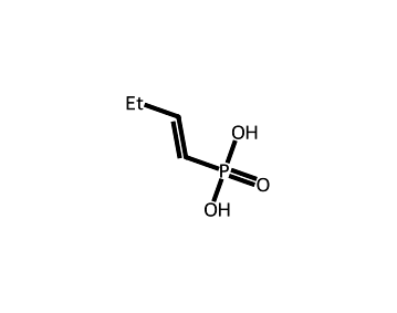 CCC=CP(=O)(O)O